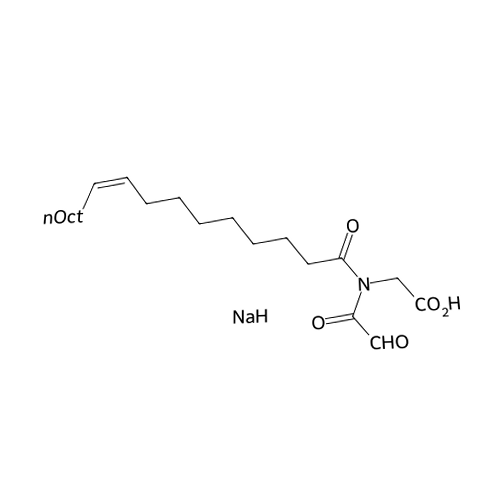 CCCCCCCC/C=C\CCCCCCCC(=O)N(CC(=O)O)C(=O)C=O.[NaH]